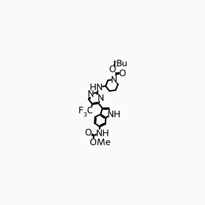 COC(=O)Nc1ccc2c(-c3nc(NC4CCCN(C(=O)OC(C)(C)C)C4)ncc3C(F)(F)F)c[nH]c2c1